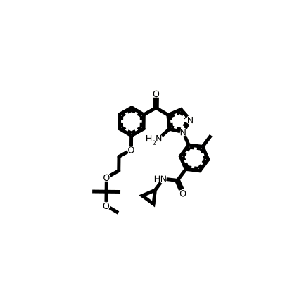 COC(C)(C)OCCOc1cccc(C(=O)c2cnn(-c3cc(C(=O)NC4CC4)ccc3C)c2N)c1